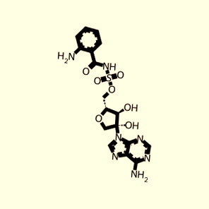 Nc1ccccc1C(=O)NS(=O)(=O)OC[C@H]1OC[C@](O)(n2cnc3c(N)ncnc32)[C@@H]1O